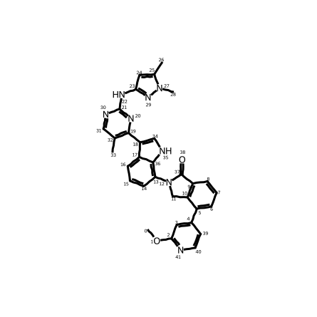 COc1cc(-c2cccc3c2CN(c2cccc4c(-c5nc(Nc6cc(C)n(C)n6)ncc5C)c[nH]c24)C3=O)ccn1